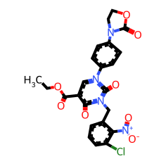 CCOC(=O)c1cn(-c2ccc(N3CCOC3=O)cc2)c(=O)n(Cc2cccc(Cl)c2[N+](=O)[O-])c1=O